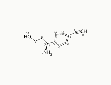 C#Cc1ccc([C@@H](N)CCO)cc1